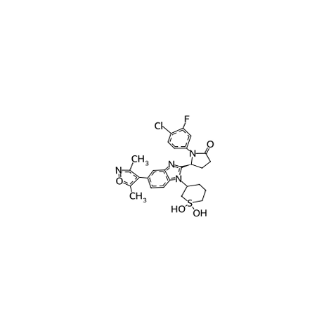 Cc1noc(C)c1-c1ccc2c(c1)nc([C@@H]1CCC(=O)N1c1ccc(Cl)c(F)c1)n2C1CCCS(O)(O)C1